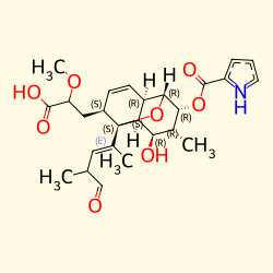 COC(C[C@H]1C=C[C@H]2[C@H]3O[C@]1(/C(C)=C/C(C)C=O)[C@@H]2[C@H](O)[C@@H](C)[C@H]3OC(=O)c1ccc[nH]1)C(=O)O